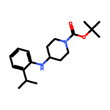 CC(C)c1ccccc1NC1CCN(C(=O)OC(C)(C)C)CC1